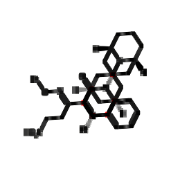 CCO/N=C(\CCC(=O)O)c1nc2ccccc2n([C@H]2C[C@H]3CCC[C@@H](C2)N3C2C[C@@H]3C[C@@H](CC)C[C@H](C2)C3)c1=O